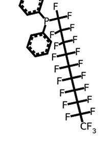 FC(F)(F)C(F)(F)C(F)(F)C(F)(F)C(F)(F)C(F)(F)C(F)(F)C(F)(F)C(F)(F)C(F)(F)P(c1ccccc1)c1ccccc1